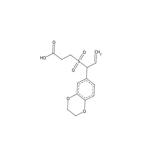 C=CC(c1ccc2c(c1)OCCO2)S(=O)(=O)CCC(=O)O